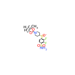 CC(C)(C)OC(=O)N1CCC([S+]([O-])c2ccc(S(N)(=O)=O)c(F)c2F)CC1